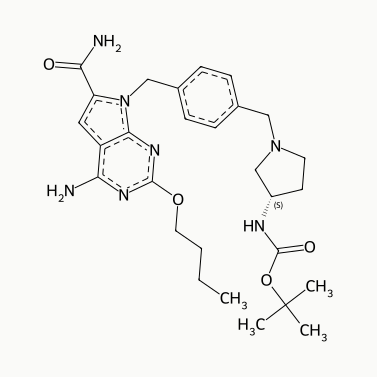 CCCCOc1nc(N)c2cc(C(N)=O)n(Cc3ccc(CN4CC[C@H](NC(=O)OC(C)(C)C)C4)cc3)c2n1